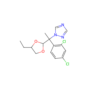 CCC1COC(C(C)(c2ccc(Cl)cc2Cl)n2cncn2)O1